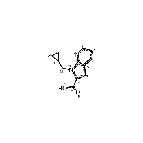 O=C(O)c1cc2cccnc2n1CC1CC1